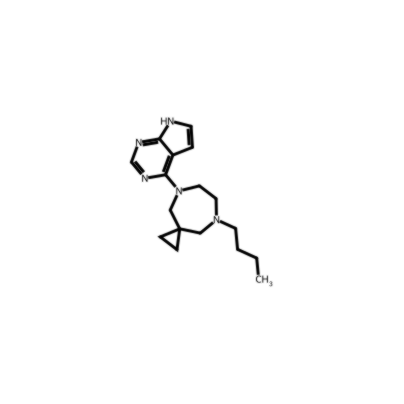 CCCCN1CCN(c2ncnc3[nH]ccc23)CC2(CC2)C1